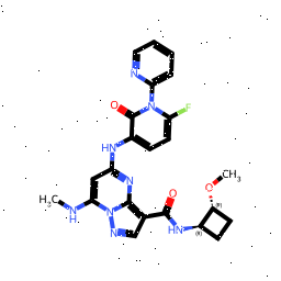 CNc1cc(Nc2ccc(F)n(-c3ccccn3)c2=O)nc2c(C(=O)N[C@@H]3CC[C@H]3OC)cnn12